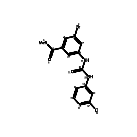 CNC(=O)c1cc(Br)cc(NC(=O)Nc2ccnc(Cl)c2)c1